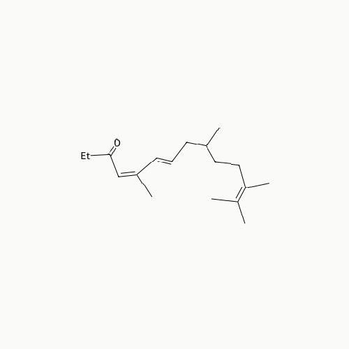 CCC(=O)C=C(C)C=CCC(C)CCC(C)=C(C)C